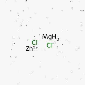 [Cl-].[Cl-].[MgH2].[Zn+2]